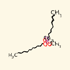 CCCCCCCCCCCCO[PH](CCCCCCCCCCCC)(OC)OC